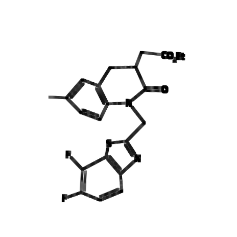 CCOC(=O)CC1Cc2cc(C)ccc2N(Cc2nc3ccc(F)c(F)c3s2)C1=O